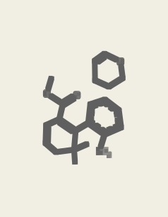 C1=COCCC1.COC(=O)C1=C(c2ccccc2N)C(C)(C)CC=C1